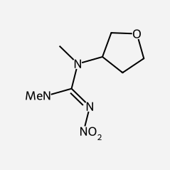 CNC(=N[N+](=O)[O-])N(C)C1CCOC1